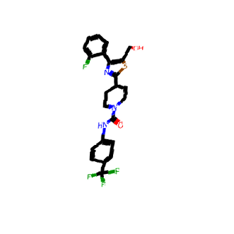 O=C(Nc1ccc(C(F)(F)F)cc1)N1CCC(c2nc(-c3ccccc3F)c(CO)s2)CC1